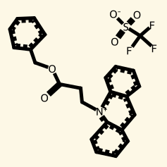 O=C(CC[n+]1c2ccccc2cc2ccccc21)OCc1ccccc1.O=S(=O)([O-])C(F)(F)F